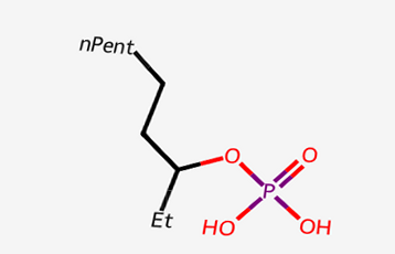 CCCCCCCC(CC)OP(=O)(O)O